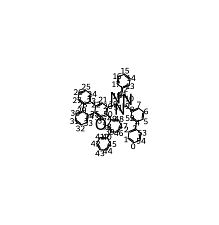 c1ccc(-c2cccc(-c3nc(-c4ccccc4)nc(-c4cc5c6ccccc6c6ccccc6c5c5oc6c(-c7ccccc7)cccc6c45)n3)c2)cc1